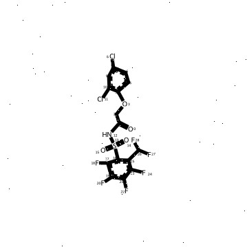 O=C(COc1ccc(Cl)cc1Cl)NS(=O)(=O)c1c(F)c(F)c(F)c(F)c1C(F)F